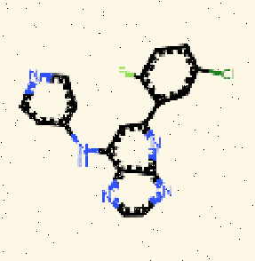 Fc1ccc(Cl)cc1-c1cc(Nc2ccncc2)c2nccnc2n1